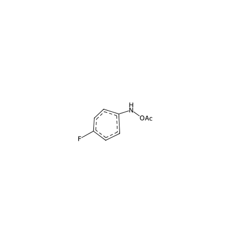 CC(=O)ONc1ccc(F)cc1